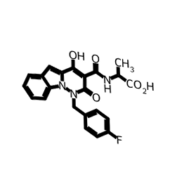 CC(NC(=O)c1c(O)c2cc3ccccc3n2n(Cc2ccc(F)cc2)c1=O)C(=O)O